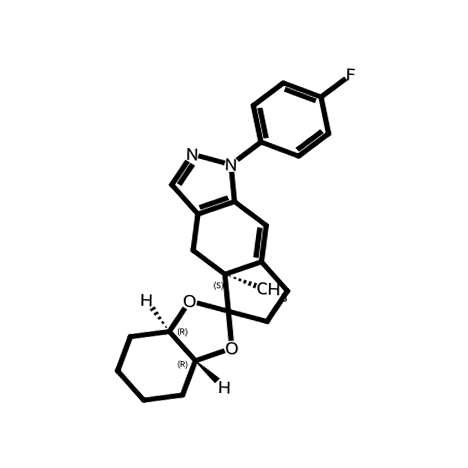 C[C@]12Cc3cnn(-c4ccc(F)cc4)c3C=C1CCC21O[C@@H]2CCCC[C@H]2O1